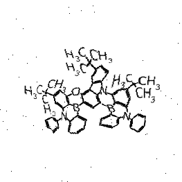 CC(C)(C)c1cc2c3c(c1)N(c1ccccc1)c1ccccc1B3c1cc3c4c(c1O2)c1cc(C(C)(C)C)ccc1n4-c1cc(C(C)(C)C)cc2c1B3c1ccccc1N2c1ccccc1